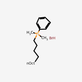 Br.CCCCCCCCCCCC[P](C)(C)c1ccccc1